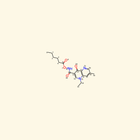 CCCCCC(=O)ONC(=O)c1cn(CC)c2cc(C)cnc2c1=O